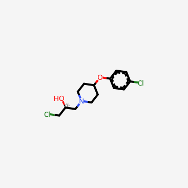 O[C@H](CCl)CN1CCC(Oc2ccc(Cl)cc2)CC1